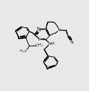 CC(C)c1ccccc1-c1nc2c(c(NCc3ccccc3)n1)CN(CC#N)CC2